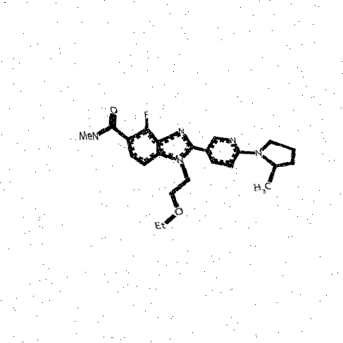 CCOCCn1c(-c2ccc(N3CCCC3C)nc2)nc2c(F)c(C(=O)NC)ccc21